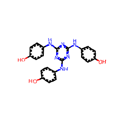 Oc1ccc(Nc2nc(Nc3ccc(O)cc3)nc(Nc3ccc(O)cc3)n2)cc1